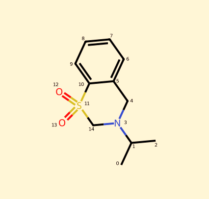 CC(C)N1Cc2ccccc2S(=O)(=O)C1